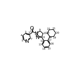 O=C(c1cccnc1)N1CCC(c2ccccc2C2CCCCC2)=N1